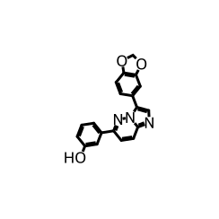 Oc1cccc(-c2ccc3ncc(-c4ccc5c(c4)OCO5)n3n2)c1